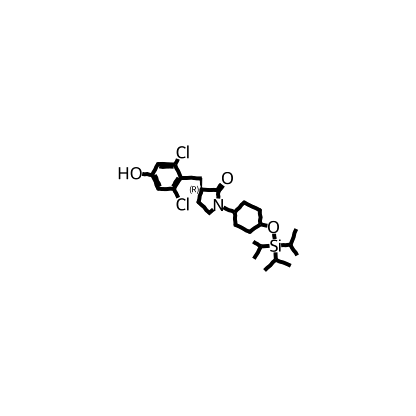 CC(C)[Si](OC1CCC(N2CC[C@@H](Cc3c(Cl)cc(O)cc3Cl)C2=O)CC1)(C(C)C)C(C)C